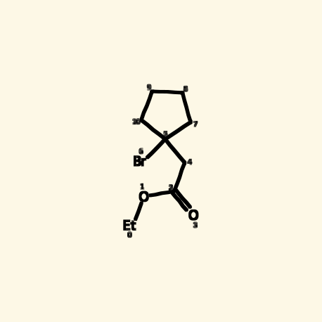 CCOC(=O)CC1(Br)CCCC1